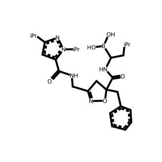 CC(C)CC(NC(=O)C1(Cc2ccccc2)CC(CNC(=O)c2cc(C(C)C)nn2C(C)C)=NO1)B(O)O